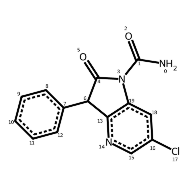 NC(=O)N1C(=O)C(c2ccccc2)c2ncc(Cl)cc21